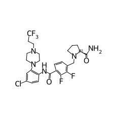 NC(=O)[C@@H]1CCCN1Cc1ccc(C(=O)Nc2ccc(Cl)cc2N2CCN(CCC(F)(F)F)CC2)c(F)c1F